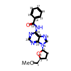 COC[C@@H]1CC[C@H](n2cnc3c(NC(=O)c4ccccc4)ncnc32)O1